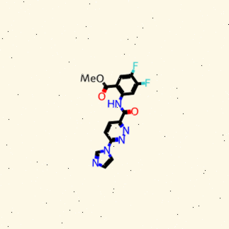 COC(=O)c1cc(F)c(F)cc1NC(=O)c1ccc(-n2ccnc2)nn1